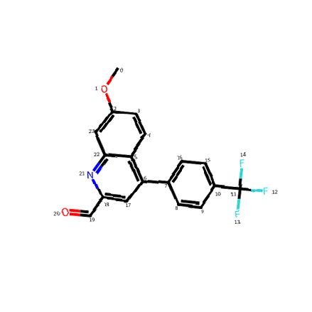 COc1ccc2c(-c3ccc(C(F)(F)F)cc3)cc(C=O)nc2c1